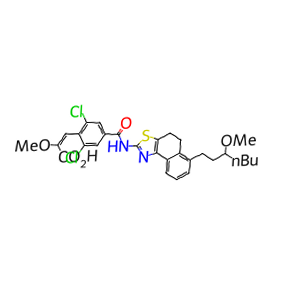 CCCCC(CCc1cccc2c1CCc1sc(NC(=O)c3cc(Cl)c(C=C(OC)C(=O)O)c(Cl)c3)nc1-2)OC